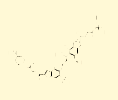 COc1cc2sc(C(=O)CCC(=O)OC3CCC(N)CC3)cc2c(F)c1OCCC(O)c1c(OC)cc2c(c1F)CN(C(=O)CCC(=O)OC(C)(C)C)C2